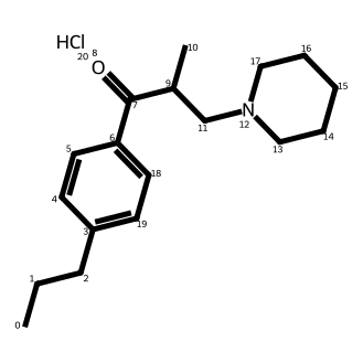 CCCc1ccc(C(=O)C(C)CN2CCCCC2)cc1.Cl